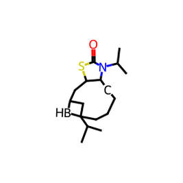 CC(C)N1C(=O)SC2CC3BC(C(C)C)(CCCCC21)C3